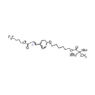 CC(C)(C)C(C)(C(=O)OCCCCCCOc1ccc(/C=C/C(=O)OCCCC(F)(F)F)cc1)C(C)(C)C